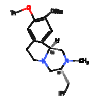 COc1cc2c(cc1OC(C)C)CCN1C[C@@H](CC(C)C)N(C)C[C@H]21